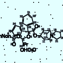 CCCCCCCCCC(=O)OC(OC(C(=O)OC1CC2CCC(C1)[N+]21CCCC1)(c1ccccc1)c1ccccc1)C(C)C.O=C[O-]